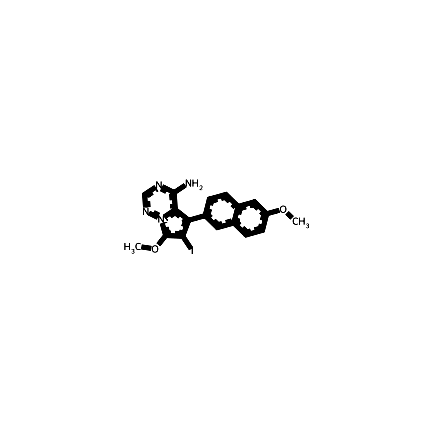 COc1ccc2cc(-c3c(I)c(OC)n4ncnc(N)c34)ccc2c1